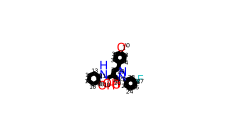 COc1ccc(-c2cc(C(O)N[C@@H]3CCCC[C@@H]3O)c(=O)n(-c3cccc(F)c3)n2)cc1